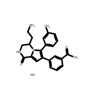 CC(=O)c1cccc(-c2cc3n(c2-c2cccc(C)c2)C(CCN)CNC3=O)c1.Cl